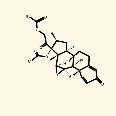 CCC(=O)OCC(=O)[C@@]1(OC(=O)CC)[C@@H](C)C[C@H]2[C@@H]3CCC4=CC(=O)C=C[C@]4(C)[C@@]3(Br)[C@H]3O[C@H]3[C@@]21C